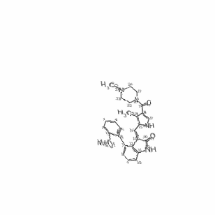 COc1ccccc1-c1cccc2c1C(=Cc1[nH]cc(C(=O)N3CCN(C)CC3)c1C)C(=O)N2